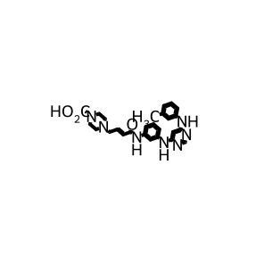 Cc1cccc(Nc2cc(Nc3cccc(NC(=O)C=CCN4CCN(C(=O)O)CC4)c3)ncn2)c1